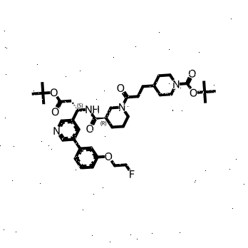 CC(C)(C)OC(=O)C[C@H](NC(=O)[C@@H]1CCCN(C(=O)CCC2CCN(C(=O)OC(C)(C)C)CC2)C1)c1cncc(-c2cccc(OCCF)c2)c1